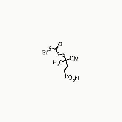 CCSC(=O)SSC(C)(C#N)CCC(=O)O